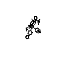 C=C(F)C(=O)N1Cc2c(-c3ccncc3)c(-c3ccc(Cl)cc3F)nn2CC1C